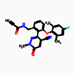 C#CC(=O)NCc1cccc(Oc2c(C)cc(F)cc2C)c1-c1nn(C)c(=O)cc1C#N